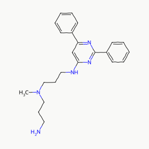 CN(CCCN)CCCNc1cc(-c2ccccc2)nc(-c2ccccc2)n1